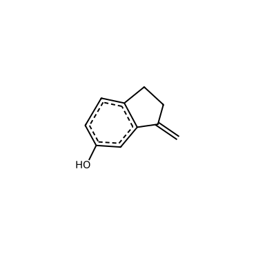 C=C1CCc2ccc(O)cc21